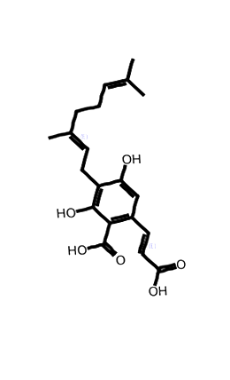 CC(C)=CCC/C(C)=C/Cc1c(O)cc(/C=C/C(=O)O)c(C(=O)O)c1O